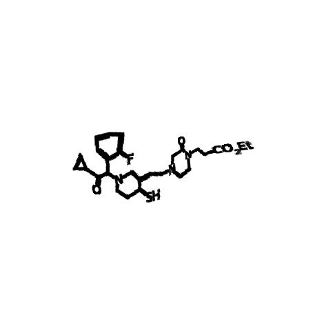 CCOC(=O)CCN1CCN(C/C=C2/CN(C(C(=O)C3CC3)c3ccccc3F)CCC2S)CC1=O